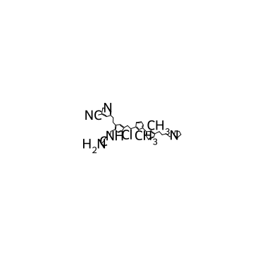 Cc1c(CCCCN2CCCC2)cccc1-c1cccc(CCc2cc(CCc3cncc(C#N)c3)c(CNCCN)cc2Cl)c1C